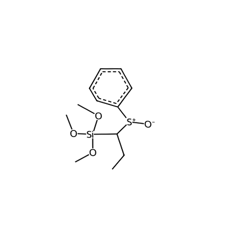 CCC([S+]([O-])c1ccccc1)[Si](OC)(OC)OC